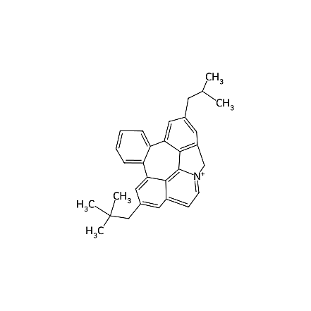 CC(C)Cc1cc2c3c(c1)-c1ccccc1-c1cc(CC(C)(C)C)cc4cc[n+](c-3c14)C2